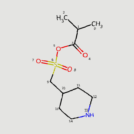 CC(C)C(=O)OS(=O)(=O)CC1CCNCC1